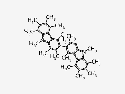 Cc1cc2c(c(C)c1-c1c(C)c(C)c3c(c1C)c1c(C)c(C)c(C)c(C)c1n3C)c1c(C)c(C)c(C)c(C)c1n2C